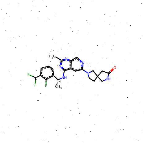 Cc1nc(N[C@H](C)c2cccc(C(F)F)c2F)c2cc(N3CCC4(CNC(=O)C4)C3)ncc2n1